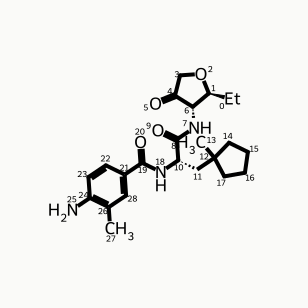 CC[C@@H]1OCC(=O)[C@H]1NC(=O)[C@H](CC1(C)CCCC1)NC(=O)c1ccc(N)c(C)c1